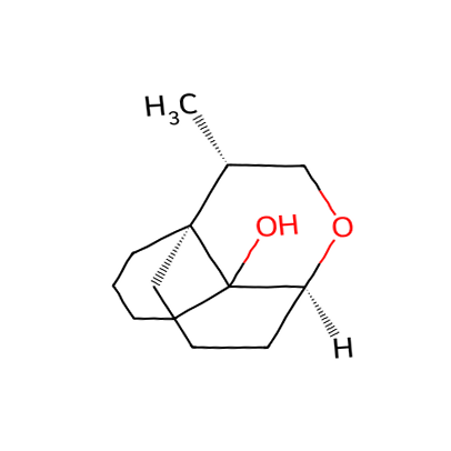 C[C@@H]1CO[C@H]2CCC[C@]13CCCCC23O